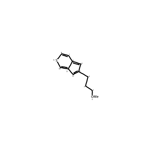 [CH2]OCCCc1cc2ccscc-2c1